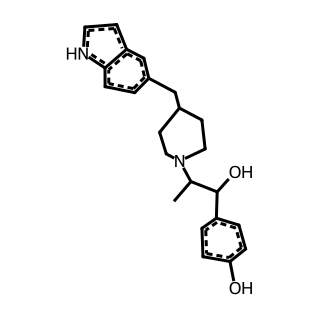 CC(C(O)c1ccc(O)cc1)N1CCC(Cc2ccc3[nH]ccc3c2)CC1